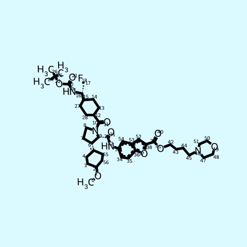 COC1CCC([C@@H]2CCN(C(=O)C3CCC([C@@H](CF)NC(=O)OC(C)(C)C)CC3)[C@@H]2C(=O)Nc2ccc3oc(C(=O)OCCCCN4CCOCC4)cc3c2)CC1